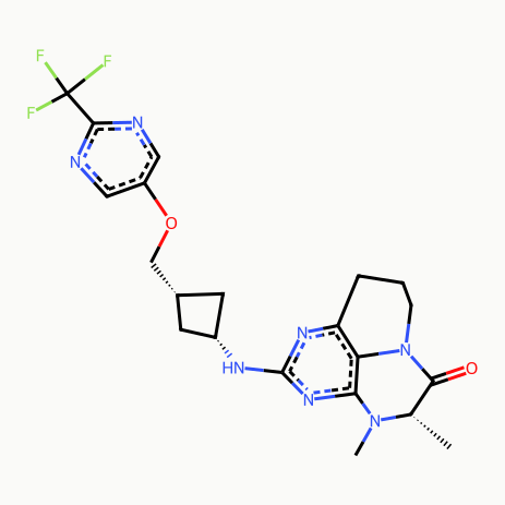 C[C@H]1C(=O)N2CCCc3nc(N[C@H]4C[C@@H](COc5cnc(C(F)(F)F)nc5)C4)nc(c32)N1C